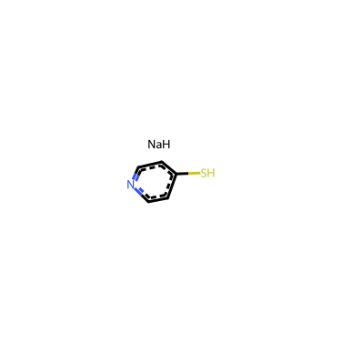 Sc1ccncc1.[NaH]